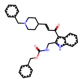 O=C(NCc1[nH]c2ccccc2c1C(=O)C=CC1CCN(Cc2ccccc2)CC1)OCc1ccccc1